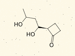 CC(O)CC(O)[C@H]1CCC1=O